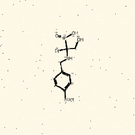 CCCCCCCCc1ccc(CNC(CC)(CO)[PH](=O)O)cc1